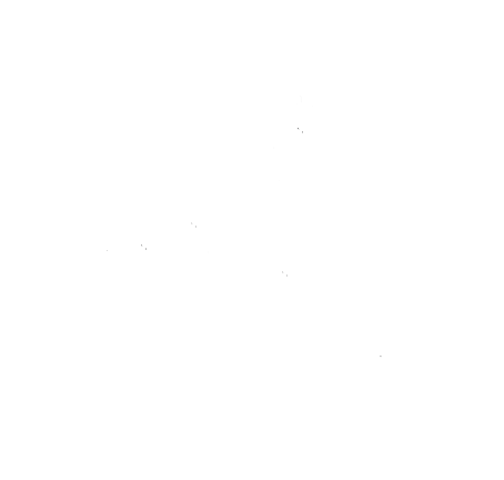 CN/C=C\C(=N)c1cn(-c2ccc(C(F)(F)F)cc2)c2ccc(SNC)cc12